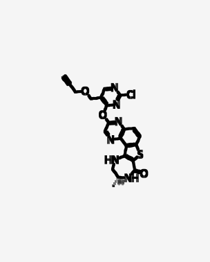 C#CCOCc1cnc(Cl)nc1Oc1cnc2c(ccc3sc4c(c32)NC[C@@H](C)NC4=O)n1